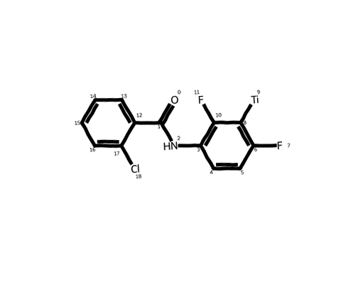 O=C(Nc1ccc(F)[c]([Ti])c1F)c1ccccc1Cl